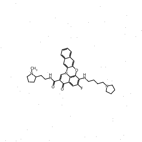 CN1CCCC1CCNC(=O)c1cn2c3c(c(NCCCCN4CCCC4)c(F)cc3c1=O)Oc1cc3ccccc3cc1-2